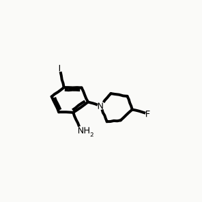 Nc1ccc(I)cc1N1CCC(F)CC1